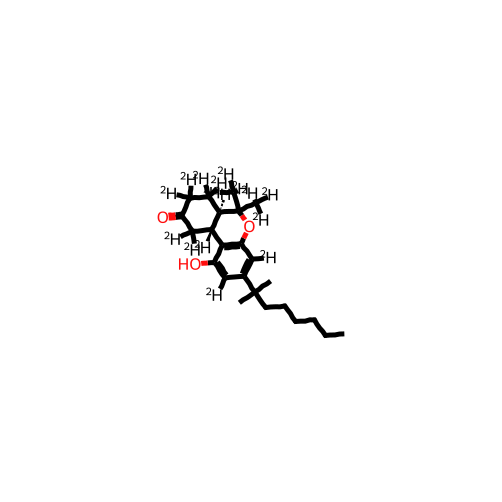 [2H]c1c(O)c2c(c([2H])c1C(C)(C)CCCCCC)OC(C([2H])([2H])[2H])(C([2H])([2H])[2H])[C@]1([2H])C([2H])([2H])C([2H])([2H])C(=O)C([2H])([2H])[C@@]21[2H]